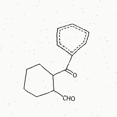 O=CC1CCCCC1C(=O)c1ccccc1